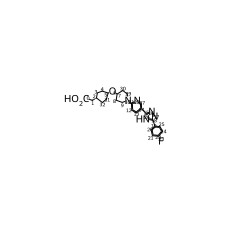 O=C(O)C[C@H]1CC[C@H](OC2CCN(c3ccc(-c4nnc(-c5ccc(F)cc5)[nH]4)cn3)CC2)CC1